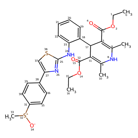 CCOC(=O)C1=C(C)NC(C)=C(C(=O)OCC)C1c1ccccc1Nc1nc(-c2ccc([S+](C)[O-])cc2)cs1